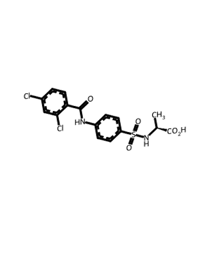 C[C@H](NS(=O)(=O)c1ccc(NC(=O)c2ccc(Cl)cc2Cl)cc1)C(=O)O